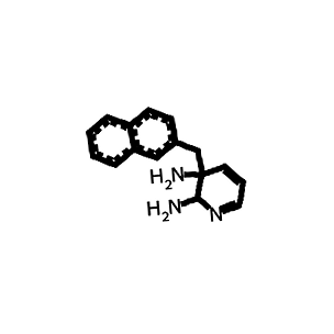 NC1N=CC=CC1(N)Cc1ccc2ccccc2c1